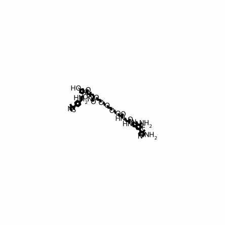 Cc1ncsc1-c1ccc(CNC(=O)[C@@H]2C[C@@H](O)CN2C(=O)CC(C)(C)CC(OCCOCCOCCOCCOCC(=O)NCCC(=O)Nc2cc3cc(-c4cncc(N)c4C)c(F)c(N)c3cn2)C(N)=O)cc1